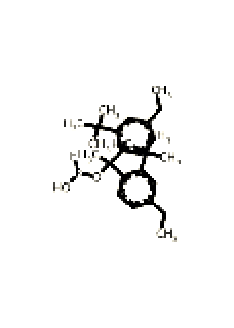 CCc1ccc(C(C)(OP(O)F)c2ccc(CC)cc2C(C)(C)C)c(C(C)(C)C)c1